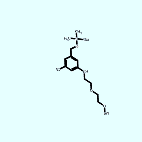 CCCOCCOCCNc1cc(CC)cc(CO[Si](C)(C)C(C)(C)C)c1